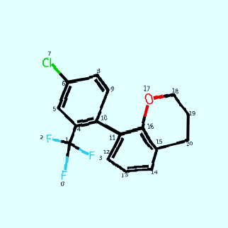 FC(F)(F)c1cc(Cl)ccc1-c1cccc2c1OCCC2